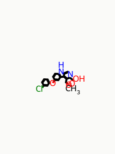 COCc1c(C(=O)O)ncc2[nH]c3ccc(Oc4cccc(Cl)c4)cc3c12